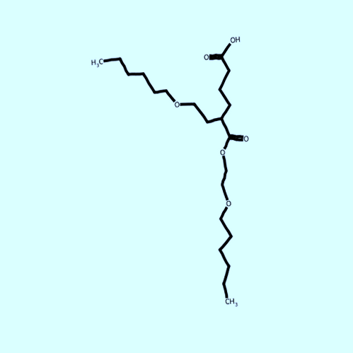 CCCCCCOCCOC(=O)C(CCCC(=O)O)CCOCCCCCC